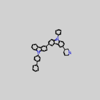 C1=CC(c2ccc3c(c2)c2cc(-c4ccc5c(c4)c4ccccc4n5-c4ccc(-c5ccccc5)cc4)ccc2n3-c2ccccc2)CN=C1